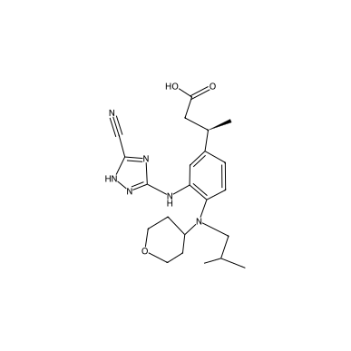 CC(C)CN(c1ccc([C@H](C)CC(=O)O)cc1Nc1n[nH]c(C#N)n1)C1CCOCC1